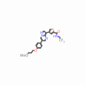 COCCCOc1ccc(-c2cnc3c(-c4csc(C(=O)NCC(F)(F)F)c4)cnn3c2)cc1